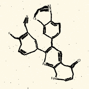 N#Cc1cc(-c2nc3[nH]ccc(=O)c3cc2-c2ccc3ncoc3c2)ccc1F